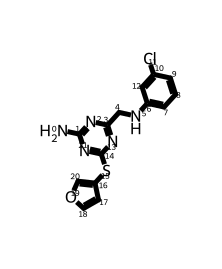 Nc1nc(CNc2cccc(Cl)c2)nc(Sc2ccoc2)n1